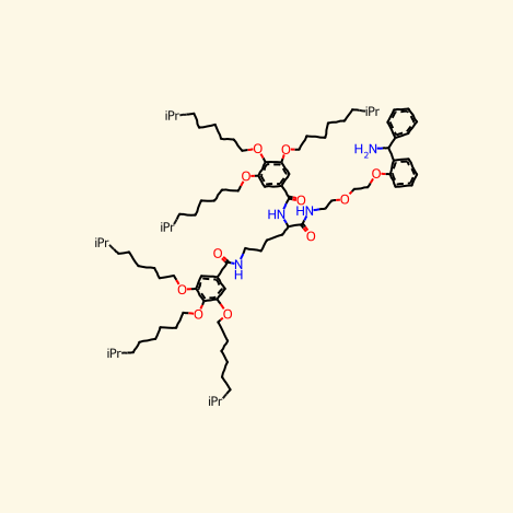 CC(C)CCCCCCOc1cc(C(=O)NCCCCC(NC(=O)c2cc(OCCCCCCC(C)C)c(OCCCCCCC(C)C)c(OCCCCCCC(C)C)c2)C(=O)NCCOCCOc2ccccc2C(N)c2ccccc2)cc(OCCCCCCC(C)C)c1OCCCCCCC(C)C